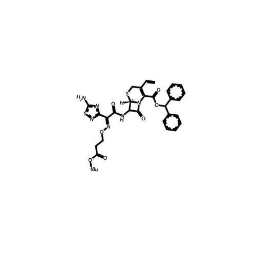 C=CC1=C(C(=O)OC(c2ccccc2)c2ccccc2)N2C(=O)C(NC(=O)C(=NOCCC(=O)OC(C)(C)C)c3nsc(N)n3)[C@@H]2SC1